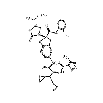 Cc1ccccc1NC(=O)C1(N2C[C@@H](C(C)C)NC2=O)Cc2ccc(NC(=O)[C@@H](NC(=O)c3nonc3C)C(C3CC3)C3CC3)cc2C1